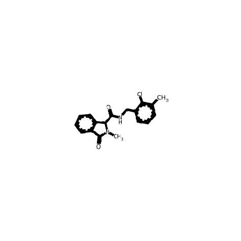 Cc1cccc(CNC(=O)C2c3ccccc3C(=O)N2C)c1Cl